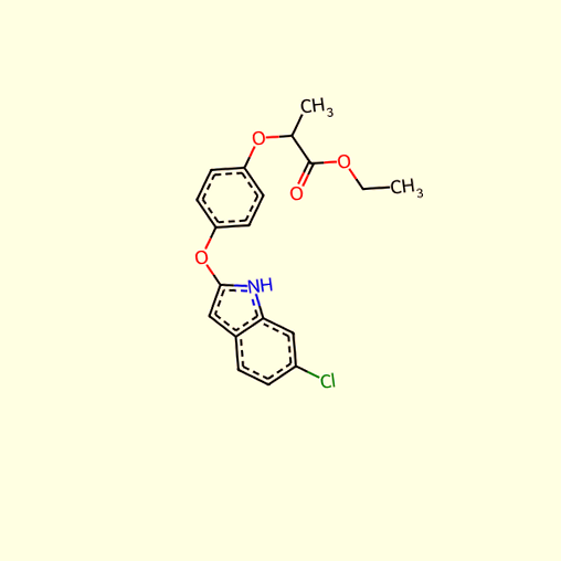 CCOC(=O)C(C)Oc1ccc(Oc2cc3ccc(Cl)cc3[nH]2)cc1